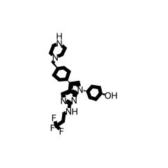 O[C@H]1CC[C@H](n2cc([C@H]3CC[C@H](CN4CCNCC4)CC3)c3cnc(NCCC(F)(F)F)nc32)CC1